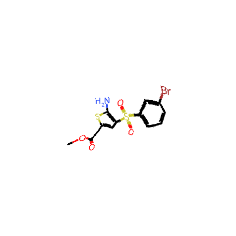 COC(=O)c1cc(S(=O)(=O)c2cccc(Br)c2)c(N)s1